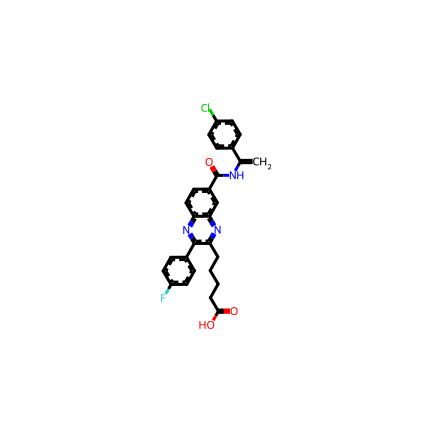 C=C(NC(=O)c1ccc2nc(-c3ccc(F)cc3)c(CCCCC(=O)O)nc2c1)c1ccc(Cl)cc1